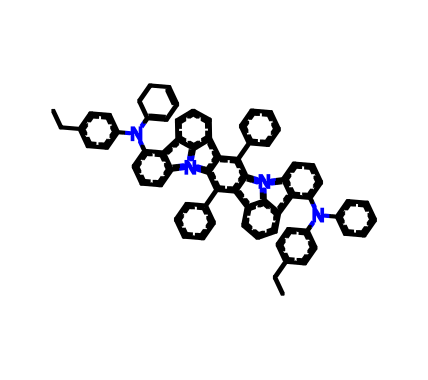 CCc1ccc(N(C2=CC=CCC2)c2cccc3c2c2cccc4c5c(-c6ccccc6)c6c(c(-c7ccccc7)c5n3c24)c2cccc3c4c(N(c5ccccc5)c5ccc(CC)cc5)cccc4n6c32)cc1